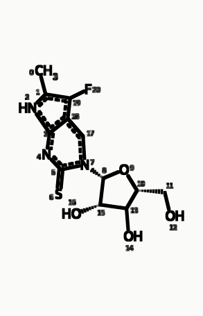 Cc1[nH]c2nc(=S)n([C@@H]3O[C@H](CO)C(O)[C@@H]3O)cc2c1F